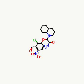 NC(=O)C(Oc1ccc([N+](=O)[O-])c(C=O)c1Cl)N1CCCC2CCCCC21